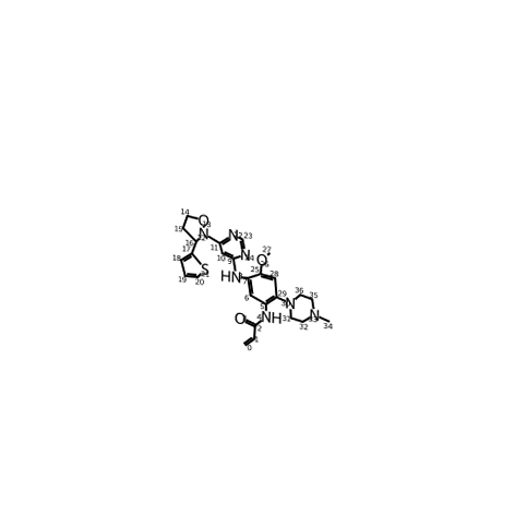 C=CC(=O)Nc1cc(Nc2cc(N3OCCC3c3cccs3)ncn2)c(OC)cc1N1CCN(C)CC1